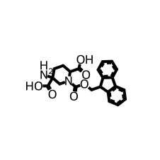 NC1(C(=O)O)CCC(C(=O)O)N(C(=O)OCC2c3ccccc3-c3ccccc32)C1